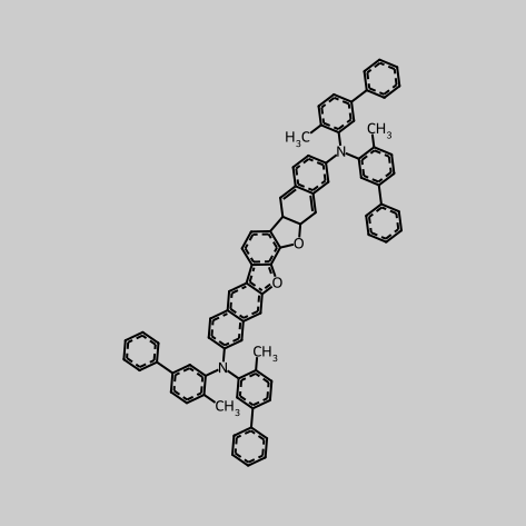 Cc1ccc(-c2ccccc2)cc1N(c1ccc2c(c1)=CC1Oc3c(ccc4c3oc3cc5cc(N(c6cc(-c7ccccc7)ccc6C)c6cc(-c7ccccc7)ccc6C)ccc5cc34)C1C=2)c1cc(-c2ccccc2)ccc1C